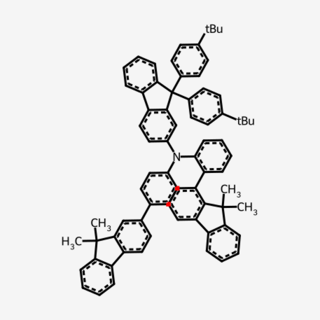 CC(C)(C)c1ccc(C2(c3ccc(C(C)(C)C)cc3)c3ccccc3-c3ccc(N(c4ccc(-c5ccc6c(c5)C(C)(C)c5ccccc5-6)cc4)c4ccccc4-c4cccc5c4C(C)(C)c4ccccc4-5)cc32)cc1